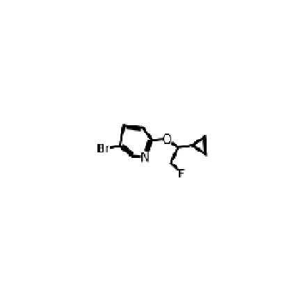 FCC(Oc1ccc(Br)cn1)C1CC1